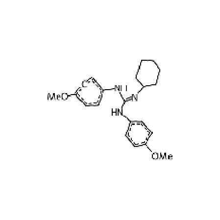 COc1ccc(NC(=NC2CCCCC2)Nc2ccc(OC)cc2)cc1